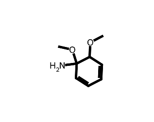 COC1C=CC=CC1(N)OC